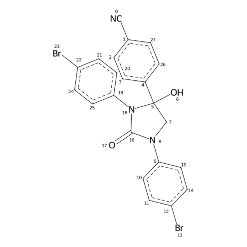 N#Cc1ccc(C2(O)CN(c3ccc(Br)cc3)C(=O)N2c2ccc(Br)cc2)cc1